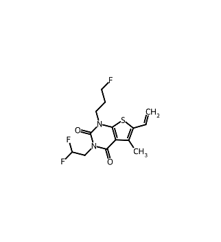 C=Cc1sc2c(c1C)c(=O)n(CC(F)F)c(=O)n2CCCF